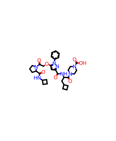 O=C(NC(CC1CCC1)C(=O)N1CCN(C(=O)O)CC1)c1cc(OCC(=O)N2CCCC2C(=O)NC2CCC2)n(-c2ccccc2)n1